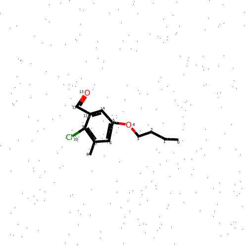 CCCCOc1cc(C)c(Cl)c(C=O)c1